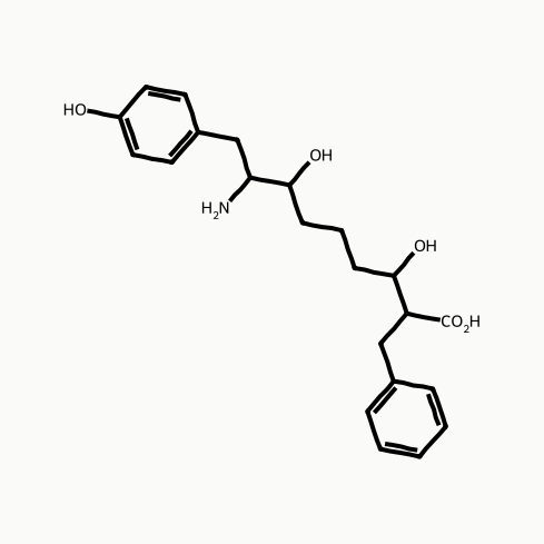 NC(Cc1ccc(O)cc1)C(O)CCCC(O)C(Cc1ccccc1)C(=O)O